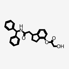 O=C(CC1CCc2c(OC(=O)CO)cccc21)NC(c1ccccc1)c1ccccc1